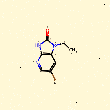 CCn1c(=O)[nH]c2ncc(Br)cc21